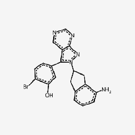 Nc1cccc2c1CC(n1nc3ncncc3c1-c1ccc(Br)c(O)c1)C2